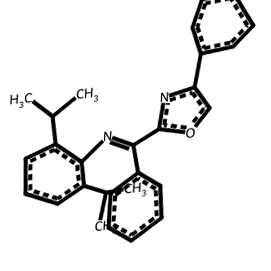 CC(C)c1cccc(C(C)C)c1/N=C(\c1ccccc1)c1nc(-c2ccccc2)co1